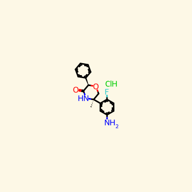 C[C@@]1(c2cc(N)ccc2F)CO[C@H](c2ccccc2)C(=O)N1.Cl